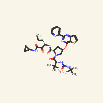 CCC[C@H](NC(=O)[C@@H]1C[C@@H](Oc2nc(-c3ccccn3)nc3ccsc23)CN1C(=O)[C@@H](NC(=O)NC(C)(C)C)C(C)(C)C)C(=O)C(=O)NC1CC1